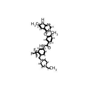 CCN1CCN(Cc2ccc(NC(=O)c3ccc(C)c(Oc4ncnc5[nH]c(C)cc45)c3)cc2C(F)(F)F)CC1